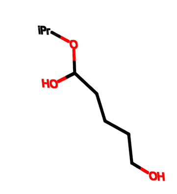 CC(C)OC(O)CCCCO